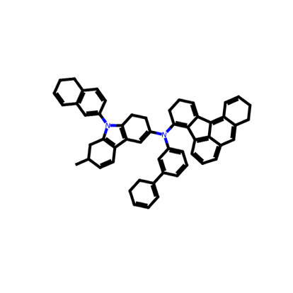 CC1C=Cc2c3c(n(-c4ccc5c(c4)C=CCC5)c2C1)CCC(N(C1=C2C(=CCC1)c1c4c(cc5cccc2c15)CCC=C4)c1cccc(C2=CC=CCC2)c1)=C3